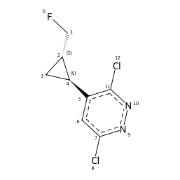 FC[C@H]1C[C@@H]1c1cc(Cl)nnc1Cl